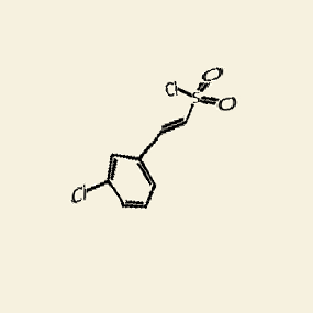 O=S(=O)(Cl)C=Cc1cccc(Cl)c1